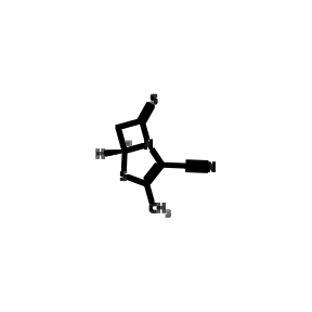 CC1=C(C#N)N2C(=S)C[C@H]2S1